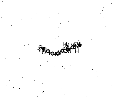 Cc1cccc(NC(=O)c2ncc(-c3nn4c(c3C#N)Nc3ccc(N5CCN(CC6CCN(c7ccc(N8CCC(=O)NC8=O)cc7)CC6)CC5)cc3CC4)cc2C)n1